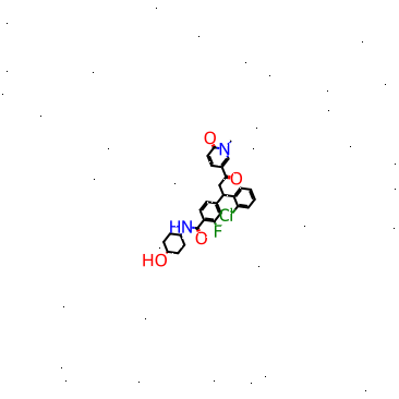 Cn1cc(C(=O)CC(c2ccc(C(=O)N[C@H]3CC[C@H](O)CC3)c(F)c2)c2ccccc2Cl)ccc1=O